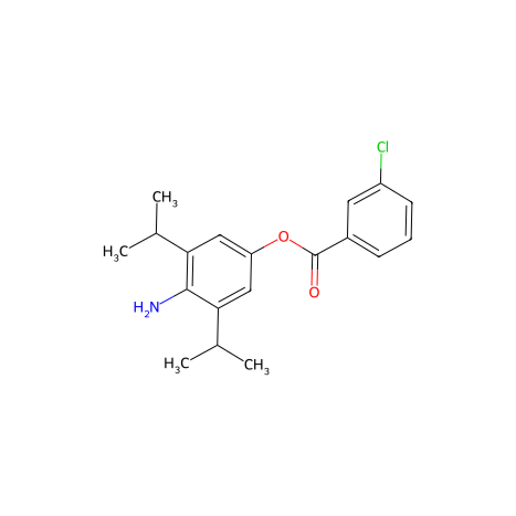 CC(C)c1cc(OC(=O)c2cccc(Cl)c2)cc(C(C)C)c1N